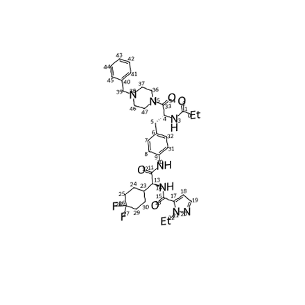 CCC(=O)N[C@H](Cc1ccc(NC(=O)[C@@H](NC(=O)c2ccnn2CC)C2CCC(F)(F)CC2)cc1)C(=O)N1CCN(Cc2ccccc2)CC1